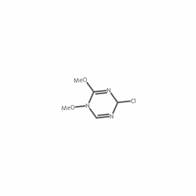 COC1=NC(Cl)N=CN1OC